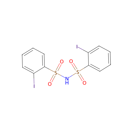 O=S(=O)(NS(=O)(=O)c1ccccc1I)c1ccccc1I